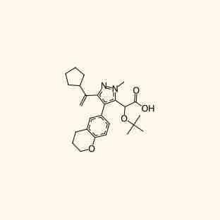 C=C(c1nn(C)c(C(OC(C)(C)C)C(=O)O)c1-c1ccc2c(c1)CCCO2)C1CCCC1